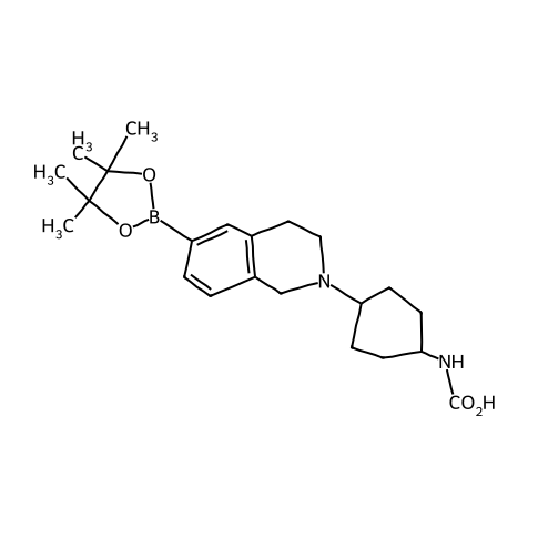 CC1(C)OB(c2ccc3c(c2)CCN(C2CCC(NC(=O)O)CC2)C3)OC1(C)C